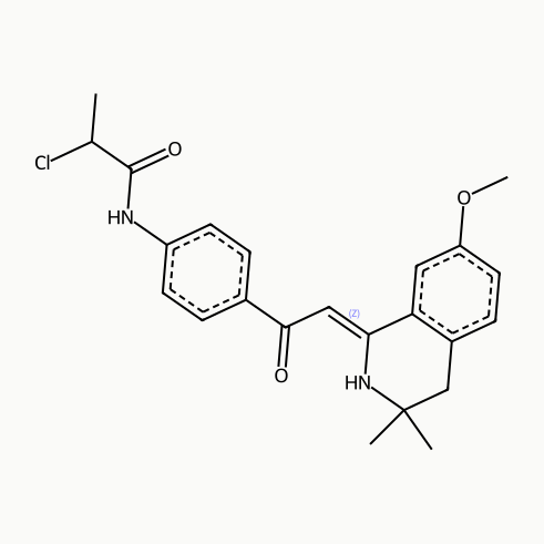 COc1ccc2c(c1)/C(=C/C(=O)c1ccc(NC(=O)C(C)Cl)cc1)NC(C)(C)C2